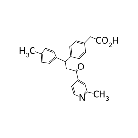 Cc1ccc(C(CC(=O)c2ccnc(C)c2)c2ccc(CC(=O)O)cc2)cc1